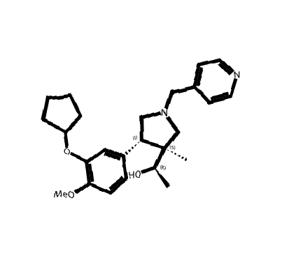 COc1ccc([C@@H]2CN(Cc3ccncc3)C[C@@]2(C)[C@@H](C)O)cc1OC1CCCC1